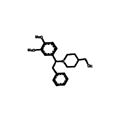 COc1ccc(C(Cc2ccccc2)N2CCC(CO)CC2)cc1OC